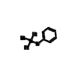 CC[Si](CC)(CC)[N]c1ccccc1